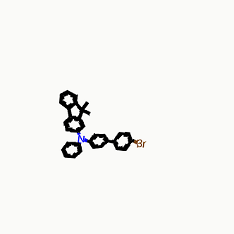 CC1(C)c2ccccc2-c2ccc(N(c3ccccc3)c3ccc(-c4ccc(Br)cc4)cc3)cc21